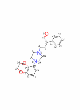 O=CC(CCN1CCN(c2cccc3c2OCCO3)CC1)c1ccccc1